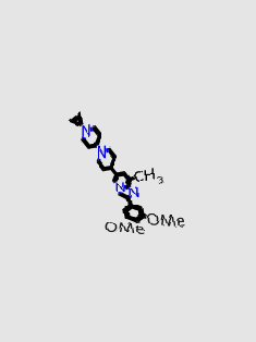 COc1ccc(-c2cn3cc(C4CCN(C5CCN(C6CC6)CC5)CC4)cc(C)c3n2)cc1OC